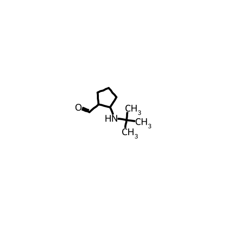 CC(C)(C)NC1CCCC1C=O